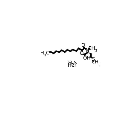 CCCCCCCCCCCCCC(=O)N(C)[C@@H](CCSC)C(=O)O.Cl.S